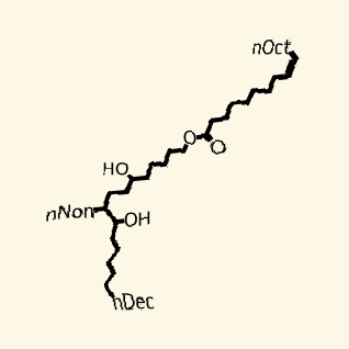 CCCCCCCC/C=C\CCCCCCCC(=O)OCCCCCC(O)CCC(CCCCCCCCC)C(O)CCCCCCCCCCCCCCC